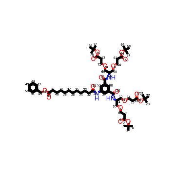 CC(C)(C)OC(=O)CCOCC(COCCC(=O)OC(C)(C)C)NC(=O)c1cc(NC(=O)CCCCCCCCCCC(=O)OCc2ccccc2)cc(C(=O)NC(COCCC(=O)OC(C)(C)C)COCCC(=O)OC(C)(C)C)c1